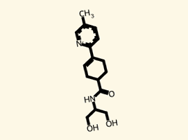 Cc1ccc(C2=CCC(C(=O)NC(CO)CO)CC2)nc1